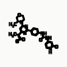 CC(c1cc(N2CCOC[C@@H]2C)nc(-c2ccc(NC(=O)Nc3cc[nH]c(=O)c3)cc2)n1)=S(=O)=O